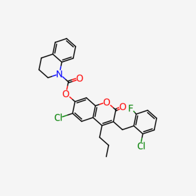 CCCc1c(Cc2c(F)cccc2Cl)c(=O)oc2cc(OC(=O)N3CCCc4ccccc43)c(Cl)cc12